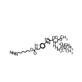 COC(=O)[C@H](CO[Si](C)(C)C(C)(C)C)NC(=O)c1csc(-c2ccc(CNC(=O)OCCCCCCN=[N+]=[N-])cc2)n1